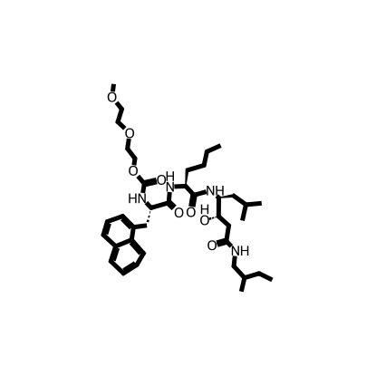 CCCC[C@H](NC(=O)[C@H](Cc1cccc2ccccc12)NC(=O)OCCOCCOC)C(=O)N[C@@H](CC(C)C)[C@@H](O)CC(=O)NCC(C)CC